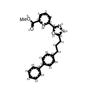 COC(=O)c1cccc(-c2nnc(CCCc3ccc(-c4ccccc4)cc3)o2)n1